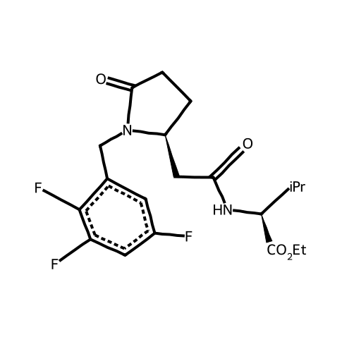 CCOC(=O)[C@@H](NC(=O)C[C@@H]1CCC(=O)N1Cc1cc(F)cc(F)c1F)C(C)C